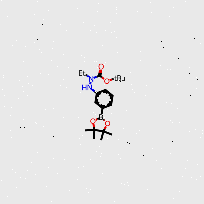 CCN(Nc1cccc(B2OC(C)(C)C(C)(C)O2)c1)C(=O)OC(C)(C)C